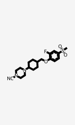 CS(=O)(=O)c1ccc(OCC2CCC(N3CCN(C#N)CC3)CC2)c(F)c1